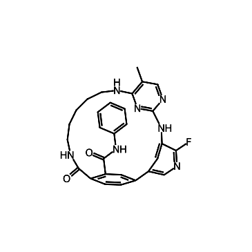 Cc1cnc2nc1NCCCCCNC(=O)c1ccc(cc1C(=O)Nc1ccccc1)-c1cnc(F)c(c1)N2